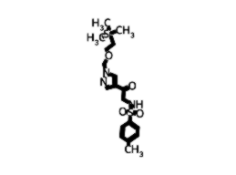 Cc1ccc(S(=O)(=O)NCC(=O)c2cnn(COCC[Si](C)(C)C)c2)cc1